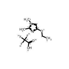 CCOc1cn(C)c(C)n1.O=C(O)C(F)(F)F